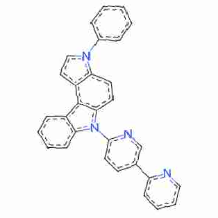 c1ccc(-n2ccc3c4c5ccccc5n(-c5ccc(-c6ccccn6)cn5)c4ccc32)cc1